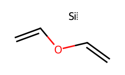 C=COC=C.[Si]